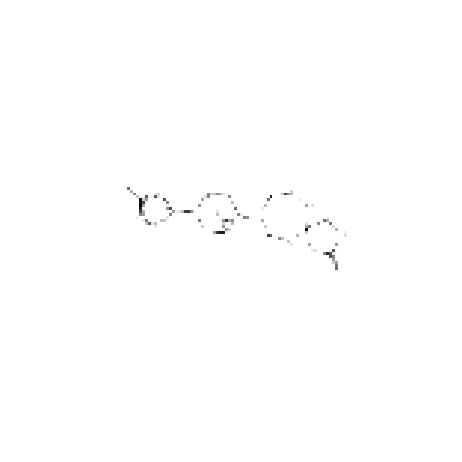 Cc1noc(N2CC3CCC2CC3N2CCCC3(CC2)CNC(=O)O3)n1